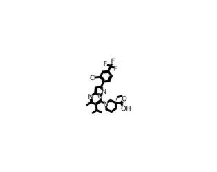 CC[C@]1(C(=O)O)CCCN(c2c(C(C)C)c(C)nc3cc(-c4ccc(C(F)(F)F)cc4Cl)nn23)C1